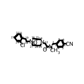 CN(Cc1ccc(C#N)cc1)C(=O)CN1CC2CN(CCc3ccccc3Cl)CC(C1)O2